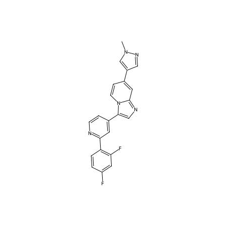 Cn1cc(-c2ccn3c(-c4ccnc(-c5ccc(F)cc5F)c4)cnc3c2)cn1